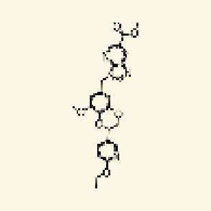 CCOc1ccc(C2COc3cc(Cn4cnc5cc(C(=O)OC)cnc54)cc(OC)c3O2)cn1